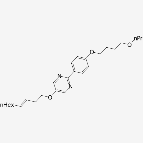 CCCCCCC=CCCOc1cnc(-c2ccc(OCCCCOCCC)cc2)nc1